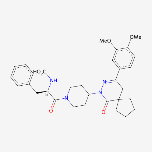 COc1ccc(C2=NN(C3CCN(C(=O)[C@@H](Cc4ccccc4)NC(=O)O)CC3)C(=O)C3(CCCC3)C2)cc1OC